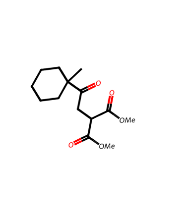 COC(=O)C(CC(=O)C1(C)CCCCC1)C(=O)OC